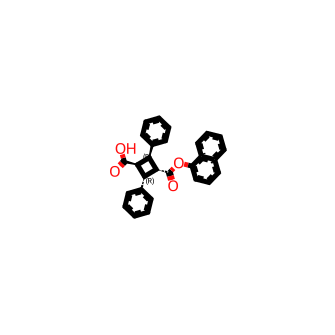 O=C(O)[C@H]1[C@@H](c2ccccc2)[C@H](C(=O)Oc2cccc3ccccc23)[C@@H]1c1ccccc1